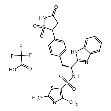 Cc1nc(C)c(S(=O)(=O)N[C@@H](Cc2ccc(C3CC(=O)NS3(=O)=O)cc2)c2nc3ccccc3[nH]2)s1.O=C(O)C(F)(F)F